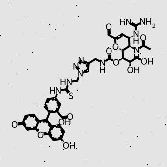 CC(=O)N[C@H]1[C@H]([C@H](OC(=O)NCc2cn(CNC(=S)Nc3ccc(-c4c5ccc(=O)cc-5oc5cc(O)ccc45)c(C(=O)O)c3)nn2)[C@H](O)CO)OC(C=O)=C[C@@H]1NC(=N)N